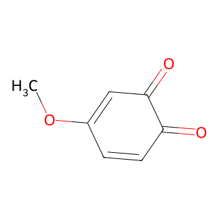 COC1=CC(=O)C(=O)C=C1